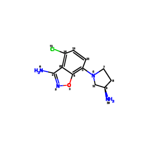 Nc1noc2c(N3CC[C@@H](N)C3)ccc(Cl)c12